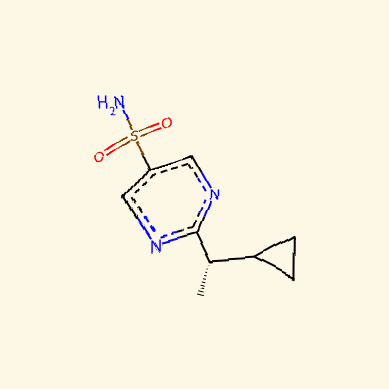 C[C@H](c1ncc(S(N)(=O)=O)cn1)C1CC1